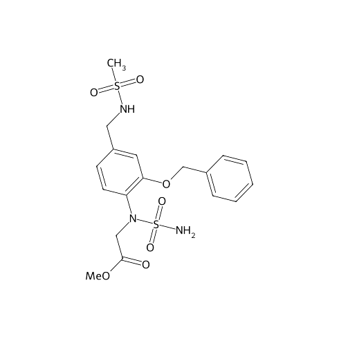 COC(=O)CN(c1ccc(CNS(C)(=O)=O)cc1OCc1ccccc1)S(N)(=O)=O